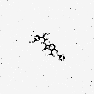 Nc1nc(/C(=N/O)C(=O)NC2C(=O)N3C(C(=O)O)=C(CSc4ncns4)CS[C@H]23)cs1